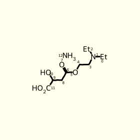 CCN(CC)CCOC(=O)CC(O)C(=O)O.N